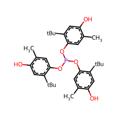 Cc1cc(OP(Oc2cc(C)c(O)cc2C(C)(C)C)Oc2cc(C)c(O)cc2C(C)(C)C)c(C(C)(C)C)cc1O